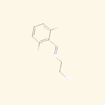 NCC/N=C/c1c(F)cccc1F